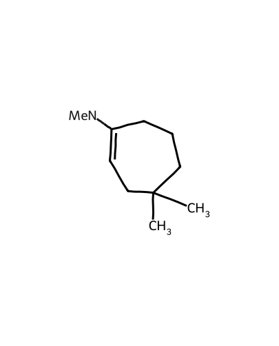 CNC1=CCC(C)(C)CCC1